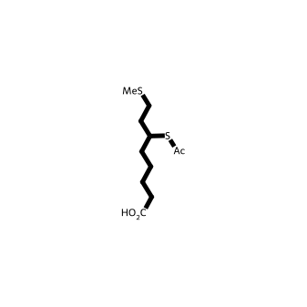 CSCCC(CCCCC(=O)O)SC(C)=O